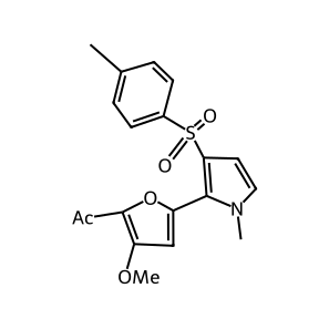 COc1cc(-c2c(S(=O)(=O)c3ccc(C)cc3)ccn2C)oc1C(C)=O